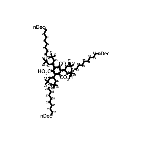 CCCCCCCCCCCCCCCCCCN1C(C)(C)CC(c2c(C(=O)O)c(C3CC(C)(C)N(CCCCCCCCCCCCCCCCCC)C(C)(C)C3)c(C(=O)O)c(C3CC(C)(C)N(CCCCCCCCCCCCCCCCCC)C(C)(C)C3)c2C(=O)O)CC1(C)C